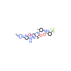 CCN1CCN(c2ccc(Nc3ncc4c(n3)C3(CC3)C(=O)N(c3cc(NC(=O)c5cccc(C(F)(F)F)c5)ccc3C)C4)c(OC)n2)CC1